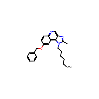 CSCCCCCn1c(C)nc2cnc3ccc(OCc4ccccc4)cc3c21